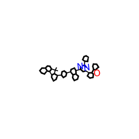 CC1(C)c2ccc3ccccc3c2-c2cccc(-c3ccc(-c4ccc(-c5cc(-c6cccc7oc8ccccc8c67)nc(-c6ccccc6)n5)c5ccccc45)cc3)c21